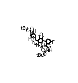 CC(C)(C)OC(=O)Nc1sc2c(F)ccc(-c3c4c(c5c(N6C[C@H]7C[C@@H]6CN7C(=O)OC(C)(C)C)ncnc5c3Cl)COC4)c2c1C#N